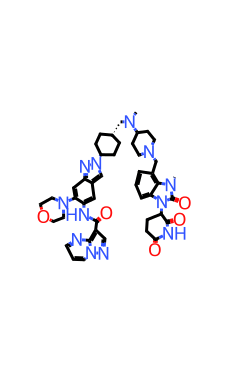 CN(C[C@H]1CC[C@H](n2cc3cc(NC(=O)c4cnn5cccnc45)c(N4CCOCC4)cc3n2)CC1)C1CCN(Cc2cccc3c2n(C)c(=O)n3C2CCC(=O)NC2=O)CC1